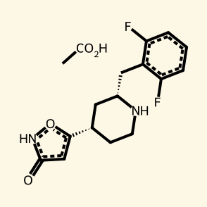 CC(=O)O.O=c1cc([C@H]2CCN[C@@H](Cc3c(F)cccc3F)C2)o[nH]1